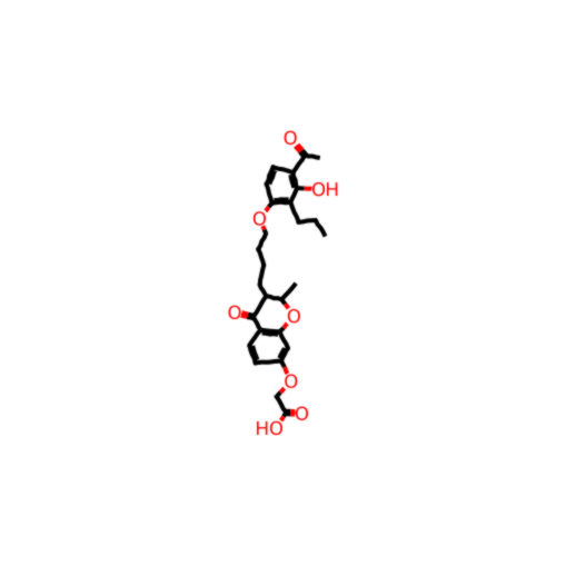 CCCc1c(OCCCCC2C(=O)c3ccc(OCC(=O)O)cc3OC2C)ccc(C(C)=O)c1O